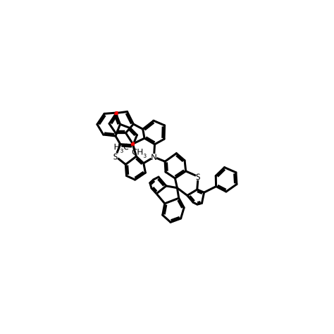 CC1(C)c2ccccc2-c2cccc(N(c3ccc4c(c3)C3(c5ccccc5-c5ccccc53)c3cccc(-c5ccccc5)c3S4)c3cccc4sc5c6ccccc6ccc5c34)c21